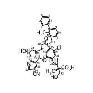 CC1C(c2ccccc2)=CC=CC1(COc1cc(OCc2cncc(C#N)c2)c(CNC(C)(CO)C(=O)O)cc1Cl)OCCCN1CC[C@@H](O)C1